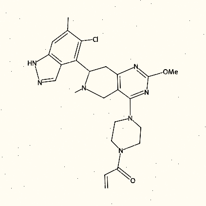 C=CC(=O)N1CCN(c2nc(OC)nc3c2CN(C)C(c2c(Cl)c(C)cc4[nH]ncc24)C3)CC1